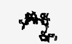 C[C@H]1CC[C@H](COc2cccnc2C(F)(F)F)CN1c1cnc2cnn(CC(F)F)c2n1